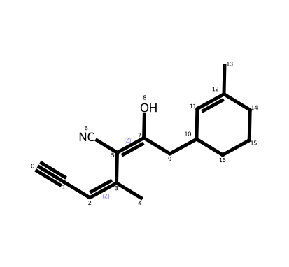 C#C/C=C(C)\C(C#N)=C(\O)CC1C=C(C)CCC1